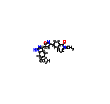 CN(C)C(=O)c1ccc(-c2cc(-c3n[nH]c4cc(C(=O)O)ccc34)on2)cc1